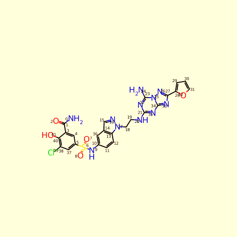 NC(=O)c1cc(S(=O)(=O)Nc2ccc3c(cnn3CCNc3nc(N)n4nc(-c5ccco5)nc4n3)c2)cc(Cl)c1O